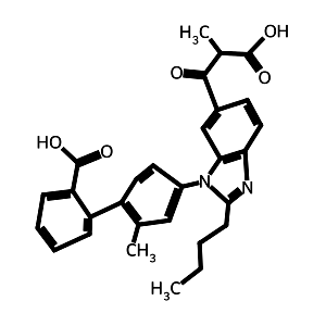 CCCCc1nc2ccc(C(=O)C(C)C(=O)O)cc2n1-c1ccc(-c2ccccc2C(=O)O)c(C)c1